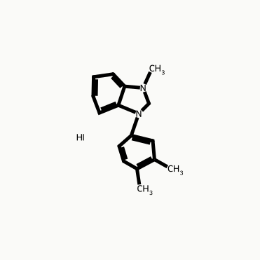 Cc1ccc(N2CN(C)c3ccccc32)cc1C.I